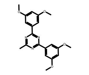 COc1cc(OC)cc(-c2nc(C)nc(-c3cc(OC)cc(OC)c3)n2)c1